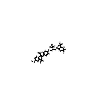 COc1ccc(-c2cc3ccc(OCC(COC(=O)C(CC(C)(C)C)C(C)(C)C)C(F)(F)F)cc3oc2=O)c(C(F)(F)F)c1